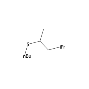 CCCCSC(C)CC(C)C